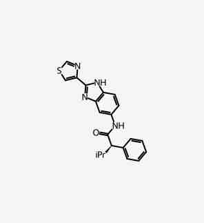 CC(C)[C@@H](C(=O)Nc1ccc2[nH]c(-c3cscn3)nc2c1)c1ccccc1